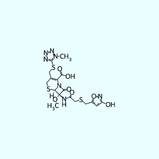 CO[C@@]1(NC(=O)CSCc2cc(O)no2)C(=O)N2C(C(=O)O)=C(CSc3nnnn3C)CS[C@@H]21